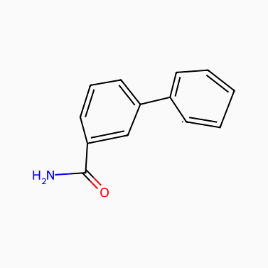 NC(=O)c1cccc(-c2[c]cccc2)c1